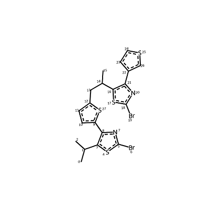 CC(C)c1sc(Br)nc1-c1ccc(CC(C)c2sc(Br)nc2-c2ccsc2)s1